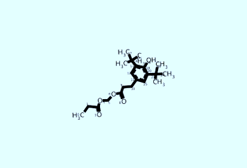 CCC(=O)OCOC(=O)CCc1cc(C(C)(C)C)c(O)c(C(C)(C)C)c1